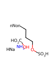 CCCCCCCCCCCCOS(=O)(=O)O.N.O=C(O)O.[NaH]